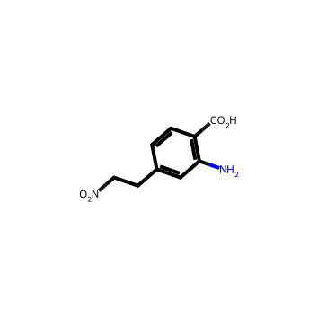 Nc1cc(CC[N+](=O)[O-])ccc1C(=O)O